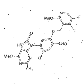 COc1ccc(F)c(F)c1COc1cc(-n2c(=O)[nH]c3c(OC)nc(C)nc32)c(Cl)cc1C=O